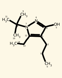 CCCc1c(O)nn(C(C)(C)C)c1CC